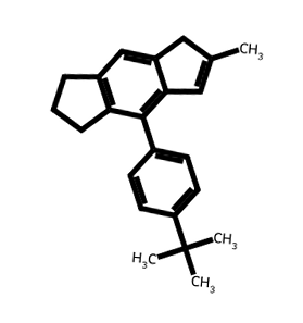 CC1=Cc2c(cc3c(c2-c2ccc(C(C)(C)C)cc2)CCC3)C1